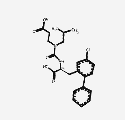 CC(C)CN(CCC(=O)O)C(=O)N[C@@H](Cc1cc(Cl)ccc1-c1ccccc1)C(=O)O